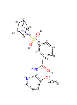 COc1cccnc1NC(=O)c1cccc(S(=O)(=O)N2CC3CCC2CC3)c1